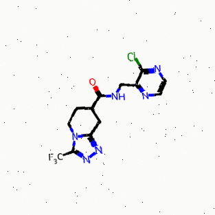 O=C(NCc1nccnc1Cl)C1CCn2c(nnc2C(F)(F)F)C1